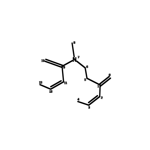 C=C(/C=C\C)CCN(C)C(=C)/C=C\C